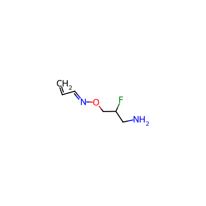 C=C/C=N/OCC(F)CN